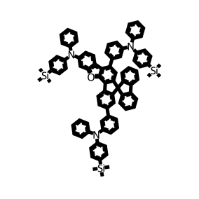 C[Si](C)(C)c1ccc(N(c2ccccc2)c2cccc(-c3ccc4c(c3)C3(c5ccccc5-c5ccccc53)c3cc(-c5cccc(N(c6ccccc6)c6ccc([Si](C)(C)C)cc6)c5)c5c(oc6cc(N(c7ccccc7)c7ccc([Si](C)(C)C)cc7)ccc65)c3-4)c2)cc1